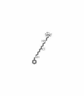 CO[Si](CCCNCCCCCCCCCCNCc1ccccc1)(OC)OC.Cl